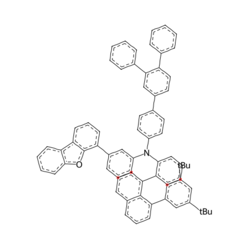 CC(C)(C)c1cc(-c2cccc3cccc(-c4ccccc4N(c4ccc(-c5ccc(-c6ccccc6)c(-c6ccccc6)c5)cc4)c4cccc(-c5cccc6c5oc5ccccc56)c4)c23)cc(C(C)(C)C)c1